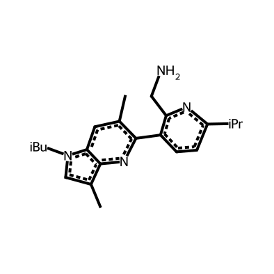 CCC(C)n1cc(C)c2nc(-c3ccc(C(C)C)nc3CN)c(C)cc21